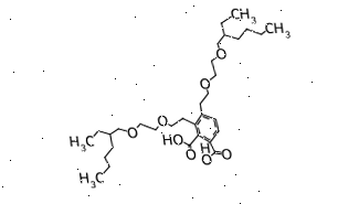 CCCCC(CC)COCCOCCc1ccc(C(=O)O)c(C(=O)O)c1CCOCCOCC(CC)CCCC